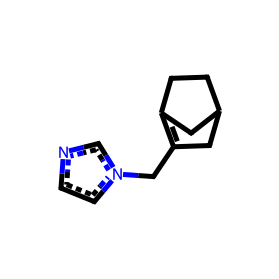 c1cn(CC2=C3CCC(C3)C2)cn1